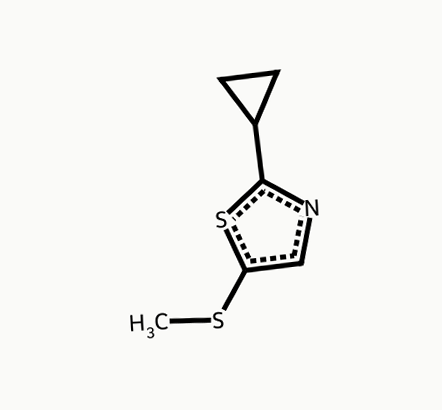 CSc1cnc(C2CC2)s1